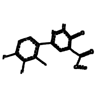 COC(=O)c1cc(-c2ccc(F)c(F)c2C)n[nH]c1=O